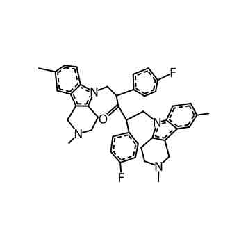 Cc1ccc2c(c1)c1c(n2CC(C(=O)C(Cn2c3c(c4cc(C)ccc42)CN(C)CC3)c2ccc(F)cc2)c2ccc(F)cc2)CCN(C)C1